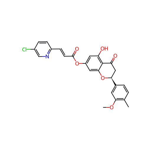 COc1cc([C@@H]2CC(=O)c3c(O)cc(OC(=O)/C=C/c4ccc(Cl)cn4)cc3O2)ccc1C